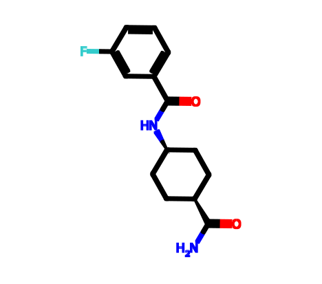 NC(=O)[C@H]1CC[C@@H](NC(=O)c2cccc(F)c2)CC1